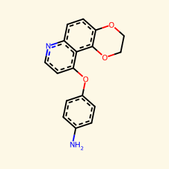 Nc1ccc(Oc2ccnc3ccc4c(c23)OCCO4)cc1